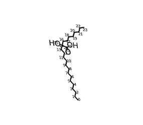 CCCCCCCCCCCCCCC(O)(CCCCCCCC)C(=O)O